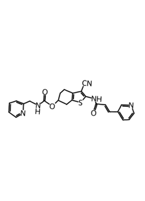 N#Cc1c(NC(=O)C=Cc2cccnc2)sc2c1CCC(OC(=O)NCc1ccccn1)C2